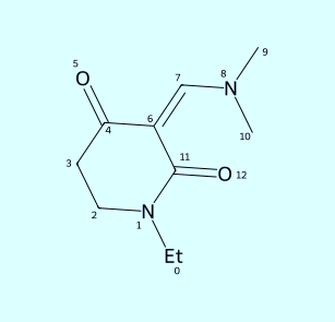 CCN1CCC(=O)C(=CN(C)C)C1=O